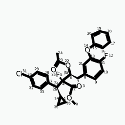 COC(=O)[C@@](F)([C@H](Cc1ccc(F)c(Oc2ccccc2)c1)OC(C)=O)[C@H](c1ccc(Cl)cc1)C1CC1